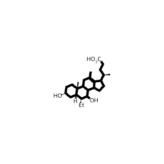 CC[C@H]1C(O)C2C3CCC([C@H](C)CCC(=O)O)C3=C(C)CC2[C@@]2(C)CC[C@@H](O)C[C@@H]12